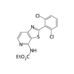 CCOC(=O)Nc1nccc2nc(-c3c(Cl)cccc3Cl)sc12